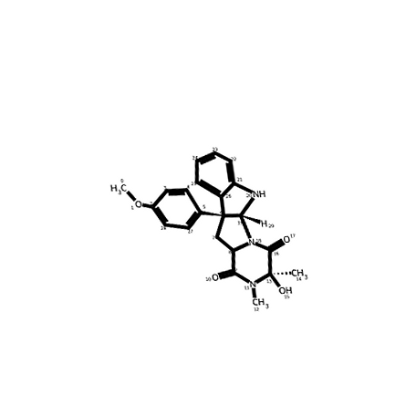 COc1ccc([C@]23CC4C(=O)N(C)[C@](C)(O)C(=O)N4[C@H]2Nc2ccccc23)cc1